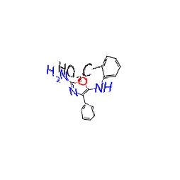 Nc1nc(-c2ccccc2)c(Nc2ccccc2C(=O)O)o1